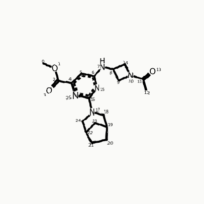 COC(=O)c1cc(NC2CN(C(C)=O)C2)nc(N2CC3CCC(C3)C2)n1